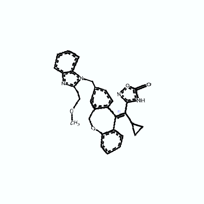 COCc1nc2ccccc2n1Cc1ccc2c(c1)COc1ccccc1/C2=C(/c1noc(=O)[nH]1)C1CC1